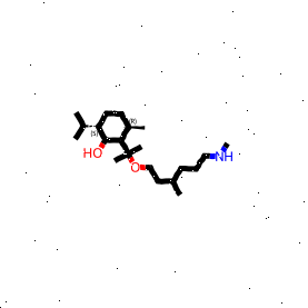 CNCCCC(C)CCOC(C)(C)C1C(O)[C@H](C(C)C)CC[C@H]1C